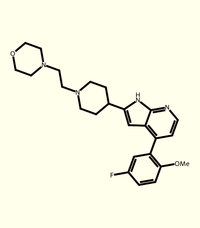 COc1ccc(F)cc1-c1ccnc2[nH]c(C3CCN(CCN4CCOCC4)CC3)cc12